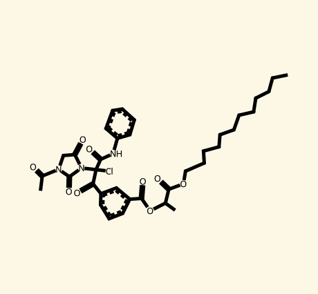 CCCCCCCCCCCCOC(=O)C(C)OC(=O)c1cccc(C(=O)C(Cl)(C(=O)Nc2ccccc2)N2C(=O)CN(C(C)=O)C2=O)c1